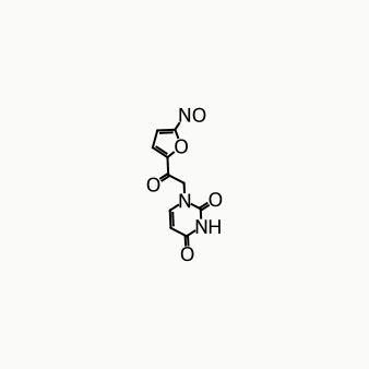 O=Nc1ccc(C(=O)Cn2ccc(=O)[nH]c2=O)o1